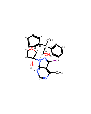 COc1ncnc2c1c(I)nn2[C@@]1(O)CCO[C@@H]1C(O)[Si](c1ccccc1)(c1ccccc1)C(C)(C)C